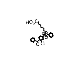 O=C(O)CCCCCCCN(c1ccccc1)S(=O)(=O)c1ccc(C(=O)c2ccccc2)c(Cl)c1